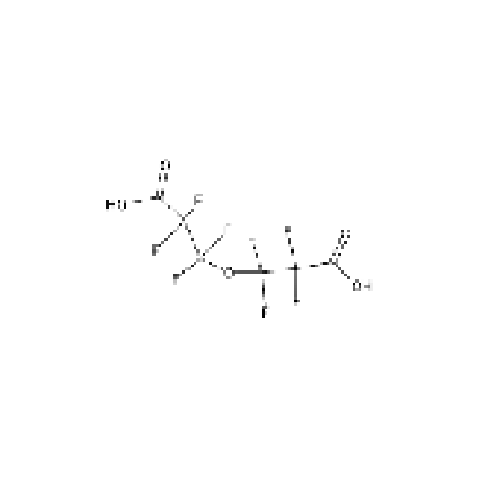 O=C(O)C(F)(F)C(F)(F)OC(F)(F)C(F)(F)C(=O)O